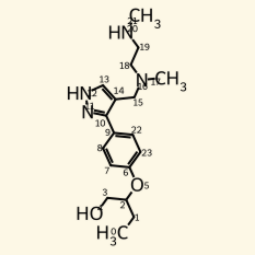 CCC(CO)Oc1ccc(-c2n[nH]cc2CN(C)CCNC)cc1